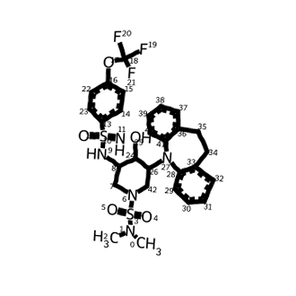 CN(C)S(=O)(=O)N1CC(NS(=N)(=O)c2ccc(OC(F)(F)F)cc2)C(O)C(N2c3ccccc3CCc3ccccc32)C1